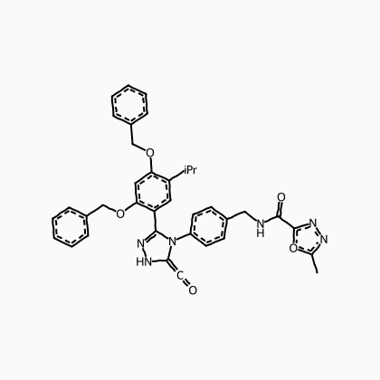 Cc1nnc(C(=O)NCc2ccc(N3C(=C=O)NN=C3c3cc(C(C)C)c(OCc4ccccc4)cc3OCc3ccccc3)cc2)o1